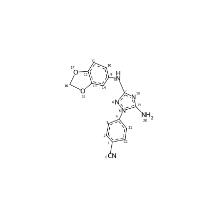 N#Cc1ccc(-n2nc(Nc3ccc4c(c3)OCO4)nc2N)cc1